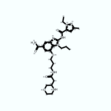 CCCn1c(NC(=O)c2cc(C)nn2CC)nc2cc(C(N)=O)cc(OCCCNC(=O)CC3COCCN3)c21